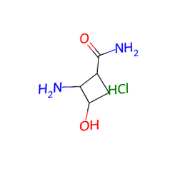 Cl.NC(=O)C1CC(O)C1N